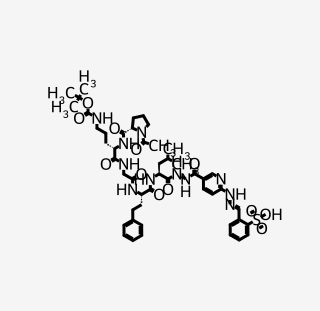 CC(=O)N1CCC[C@H]1C(=O)N[C@@H](CCCNC(=O)OC(C)(C)C)C(=O)NCC(=O)N[C@@H](CCc1ccccc1)C(=O)N[C@@H](CC(C)C)C(=O)NNC(=O)c1ccc(NN=Cc2ccccc2S(=O)(=O)O)nc1